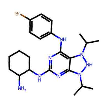 CC(C)N1NN(C(C)C)c2c(Nc3ccc(Br)cc3)nc(NC3CCCCC3N)nc21